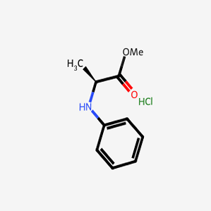 COC(=O)[C@H](C)Nc1ccccc1.Cl